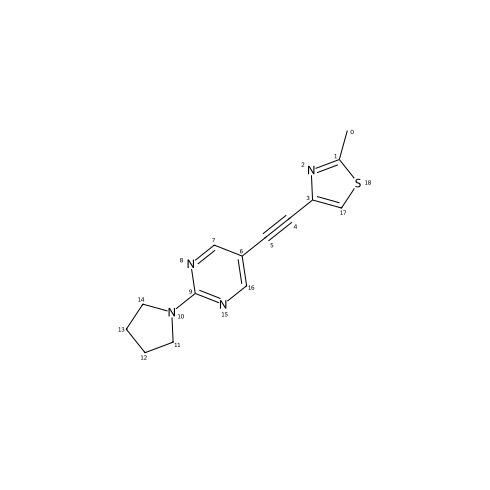 Cc1nc(C#Cc2cnc(N3CCCC3)nc2)cs1